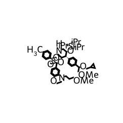 COCCCN1CCOc2ccc(C(O[C@H]3CNC[C@@H](O[Si](C(C)C)(C(C)C)C(C)C)[C@@H]3c3ccc(C(COC)OCC4CC4)cc3)S(=O)(=O)c3ccc(C)cc3)cc21